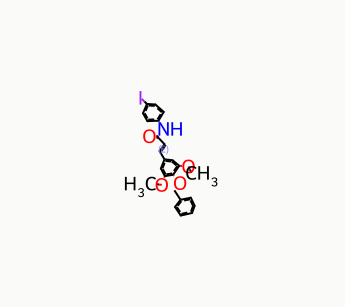 COc1cc(/C=C/C(=O)Nc2ccc(I)cc2)cc(OC)c1OCc1ccccc1